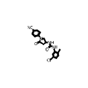 Cc1ccc(Cl)cc1NC(=O)NC1CC(=O)N(c2ccc(C#N)cc2)C1